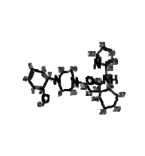 COc1ccccc1N1CCN(CCC2(C(=O)Nc3ccccn3)CCCCC2)CC1